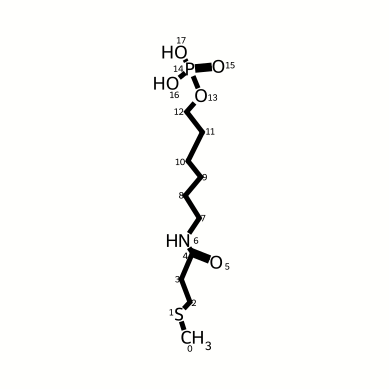 CSCCC(=O)NCCCCCCOP(=O)(O)O